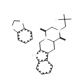 O=C1[C@H]2Cc3c([nH]c4ccccc34)[C@H](c3ccc4c(c3)OCO4)N2C(=O)CN1CC(F)(F)F